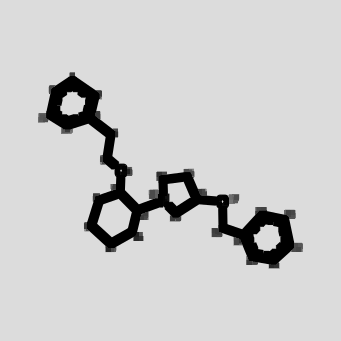 c1ccc(CCOC2CCCCC2N2CCC(OCc3ccccc3)C2)cc1